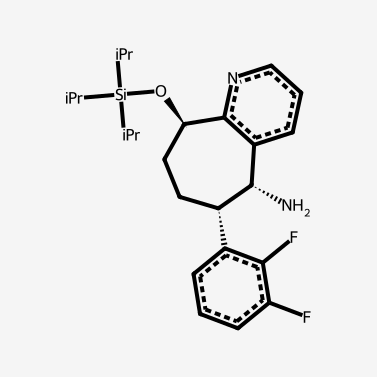 CC(C)[Si](O[C@@H]1CC[C@@H](c2cccc(F)c2F)[C@@H](N)c2cccnc21)(C(C)C)C(C)C